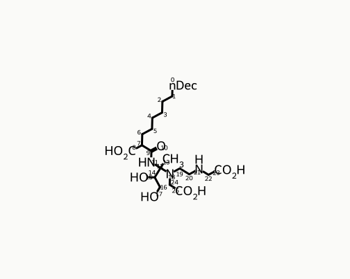 CCCCCCCCCCCCCCCCC(C(=O)O)C(=O)NC(C)(C(O)CO)N(CCNCC(=O)O)CC(=O)O